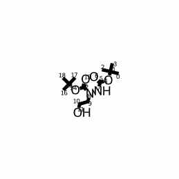 CC(C)(C)OC(=O)NN(CCO)C(=O)OC(C)(C)C